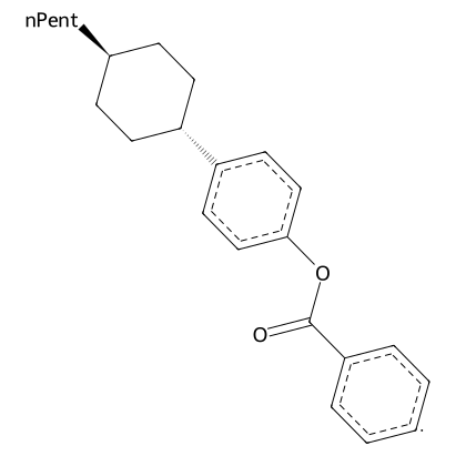 CCCCC[C@H]1CC[C@H](c2ccc(OC(=O)c3cc[c]cc3)cc2)CC1